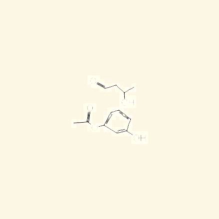 CC(=O)Oc1cccc(O)c1.CC(O)CC=O